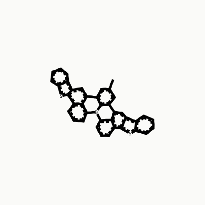 Cc1cc2c3c(c1)-c1cc4c5ccccc5sc4c4cccc(c14)B3c1cccc3c1c-2cc1c2ccccc2sc31